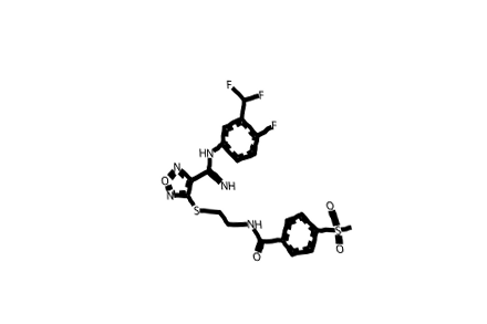 CS(=O)(=O)c1ccc(C(=O)NCCSc2nonc2C(=N)Nc2ccc(F)c(C(F)F)c2)cc1